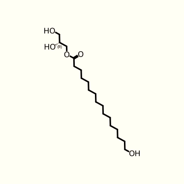 O=C(CCCCCCCCCCCCCCCO)OC[C@H](O)CO